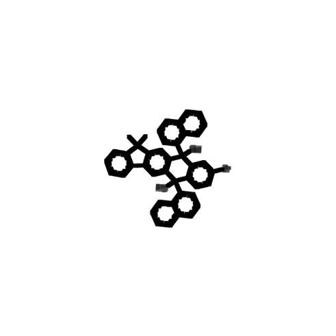 CC1(C)c2ccccc2-c2cc3c(cc21)C(O)(c1cccc2ccccc12)c1cc(Br)ccc1C3(O)c1cccc2ccccc12